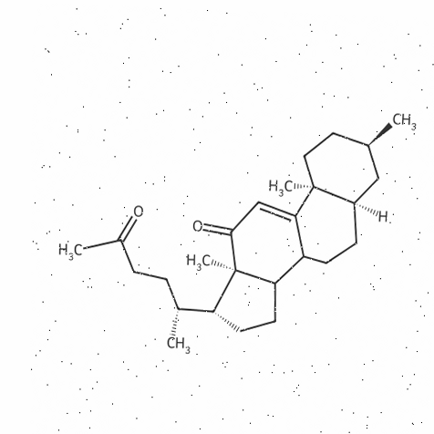 CC(=O)CC[C@@H](C)[C@H]1CCC2C3CC[C@@H]4C[C@H](C)CC[C@]4(C)C3=CC(=O)[C@@]21C